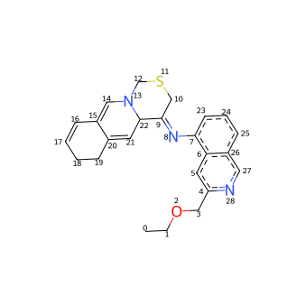 CCOCc1cc2c(N=C3CSCN4C=C5C=CCCC5=CC34)cccc2cn1